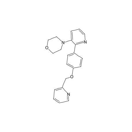 c1ccc(COc2ccc(-c3ncccc3N3CCOCC3)cc2)nc1